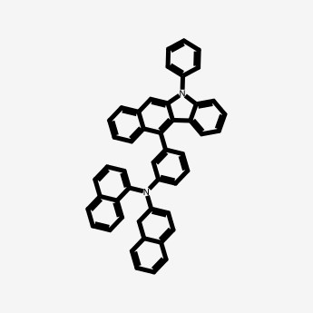 C1=CC2=CC=C(N(c3cccc(-c4c5ccccc5cc5c4c4ccccc4n5-c4ccccc4)c3)c3cccc4ccccc34)CC2C=C1